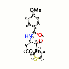 CCOC(=O)CC(NC(=O)c1ccc(OC)cc1)C(=O)c1ccsc1